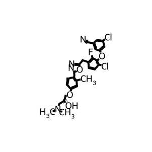 Cc1cc(OC[C@@H](O)CN(C)C)ccc1-c1nnc(Cc2ccc(Cl)c(Oc3cc(Cl)cc(C#N)c3)c2F)o1